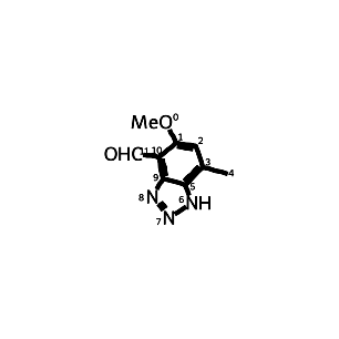 COc1cc(C)c2[nH]nnc2c1C=O